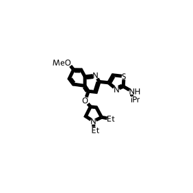 CCC1CC(Oc2cc(-c3csc(NC(C)C)n3)nc3cc(OC)ccc23)CN1CC